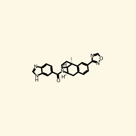 C[C@@H]1[C@H]2Cc3ccc(-c4ncon4)cc3[C@]1(C)CCN2C(=O)c1ccc2nc[nH]c2c1